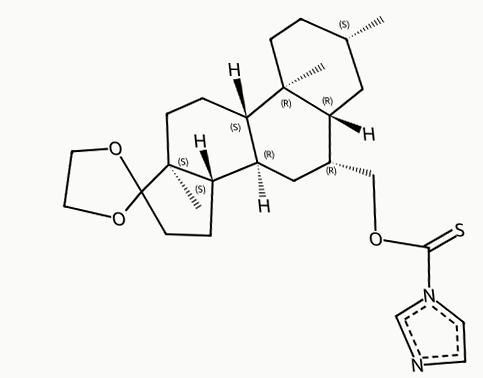 C[C@H]1CC[C@@]2(C)[C@H](C1)[C@H](COC(=S)n1ccnc1)C[C@@H]1[C@@H]2CC[C@@]2(C)[C@H]1CCC21OCCO1